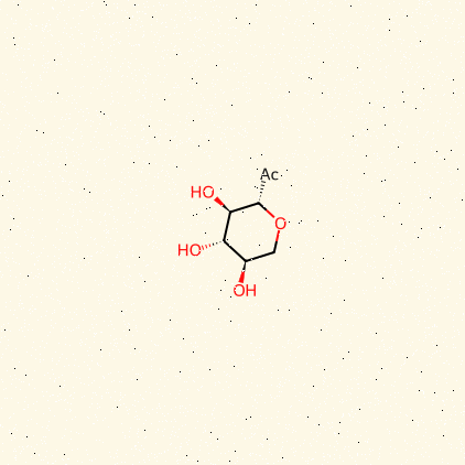 CC(=O)[C@@H]1OC[C@@H](O)[C@H](O)[C@H]1O